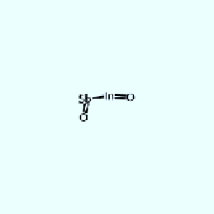 [O]=[In][Sb]=[O]